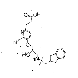 CC(C)(CC1Cc2ccccc2C1)NCC(O)COc1ccc(CCC(=O)O)nc1C#N